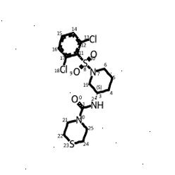 O=C(N[C@H]1CCCN(S(=O)(=O)c2c(Cl)cccc2Cl)C1)N1CCSCC1